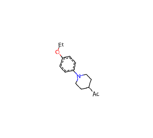 CCOc1ccc(N2CCC(C(C)=O)CC2)cc1